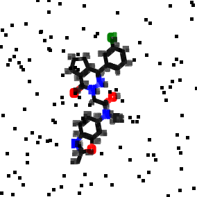 CCN(C(=O)Cn1nc(-c2cccc(Cl)c2)c2c(c1=O)CCC2)c1ccc2nc(C)oc2c1